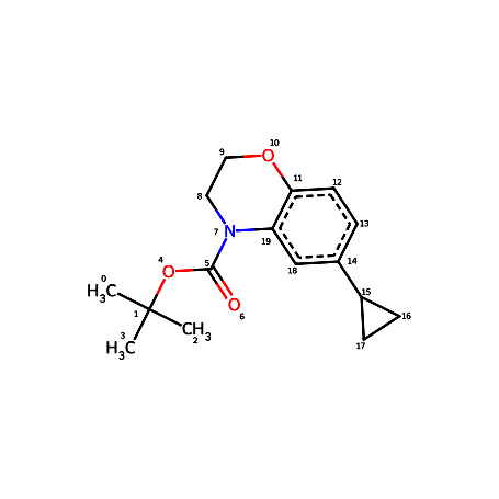 CC(C)(C)OC(=O)N1CCOc2ccc(C3CC3)cc21